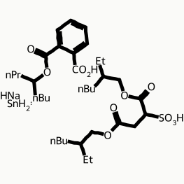 CCCCC(CC)COC(=O)CC(C(=O)OCC(CC)CCCC)S(=O)(=O)O.CCCCC(CCC)OC(=O)c1ccccc1C(=O)O.[NaH].[SnH2]